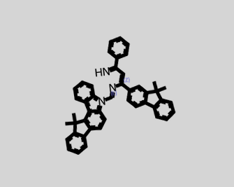 CC1(C)c2ccccc2-c2ccc(C(=C/C(=N)c3ccccc3)/N=C/n3c4ccccc4c4c5c(ccc43)-c3ccccc3C5(C)C)cc21